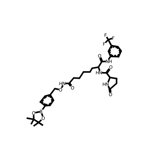 CC1(C)OB(c2ccc(CONC(=O)CCCCCC(NC(=O)C3CCC(=O)N3)C(=O)Nc3cccc(C(F)(F)F)c3)cc2)OC1(C)C